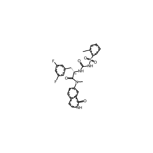 Cc1ccccc1S(=O)(=O)NC(=O)N[C@@H](Cc1cc(F)cc(F)c1)C(=O)N(C)c1ccc2cc[nH]c(=O)c2c1